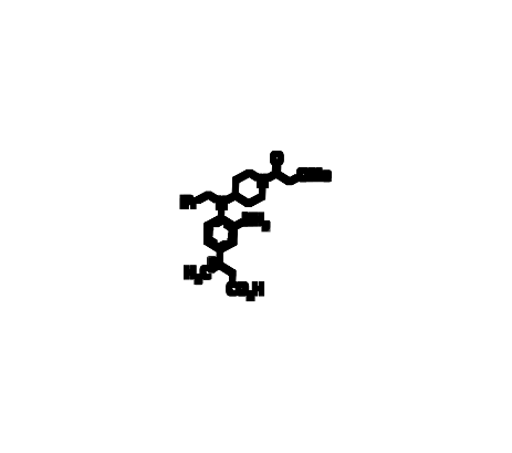 COCC(=O)N1CCC(N(CC(C)C)c2ccc([C@H](C)CC(=O)O)cc2N)CC1